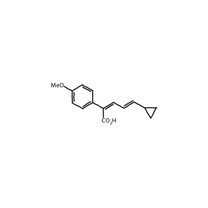 COc1ccc(C(=CC=CC2CC2)C(=O)O)cc1